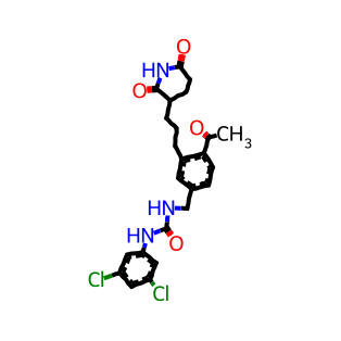 CC(=O)c1ccc(CNC(=O)Nc2cc(Cl)cc(Cl)c2)cc1CCCC1CCC(=O)NC1=O